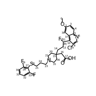 COc1ccc2ncc(Cl)c([C@H](F)CCC3(CC(=O)O)CCN(CCCSc4c(F)cccc4F)CC3)c2c1